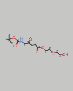 CC(C)(C)OC(=O)NCC(=O)CCC(=O)OCCOCCO